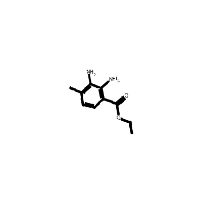 CCOC(=O)c1ccc(C)c(N)c1N